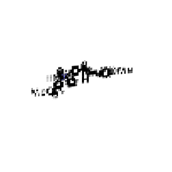 COC(=O)c1cc2c(cc1C)/C(=C(/Nc1ccc(C(=O)NOCCCN3CCC(OC)CC3)cc1)c1ccccc1)C(=O)N2